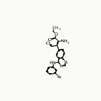 CCOC(=O)/C(N)=C(\C=O)c1ccc2ncnc(Nc3cccc(Br)c3)c2c1